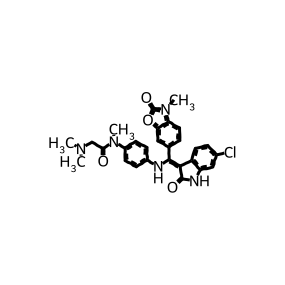 CN(C)CC(=O)N(C)c1ccc(N/C(=C2\C(=O)Nc3cc(Cl)ccc32)c2ccc3c(c2)oc(=O)n3C)cc1